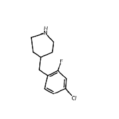 Fc1cc(Cl)ccc1CC1CCNCC1